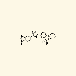 FC(F)(F)c1cc(-c2nc(-c3ccc4[nH]cnc4c3)no2)ccc1N1CCCCC1